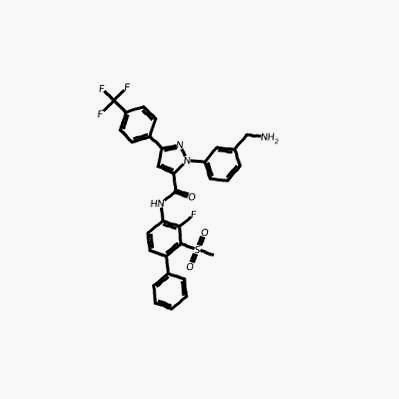 CS(=O)(=O)c1c(-c2ccccc2)ccc(NC(=O)c2cc(-c3ccc(C(F)(F)F)cc3)nn2-c2cccc(CN)c2)c1F